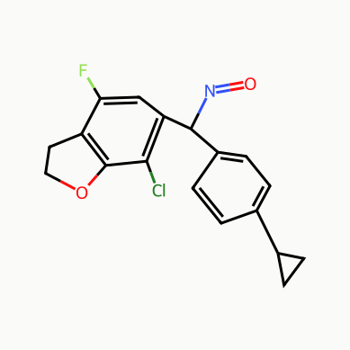 O=NC(c1ccc(C2CC2)cc1)c1cc(F)c2c(c1Cl)OCC2